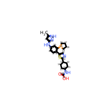 Cc1cc(Nc2ccc(-c3cnc(C4CCC(NC(=O)O)CC4)s3)c(P3CCCC3)c2)n[nH]1